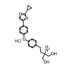 Cl.NC(CO)(CO)CCc1ccc(Oc2ccc(-c3coc(C4CC4)n3)cc2)cc1